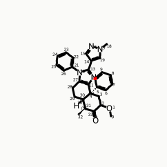 COC1C[C@]2(c3ccccc3)c3nc(-c4cnn(C)c4)n(-c4ccccc4)c3CC[C@H]2[C@H](C)C1=O